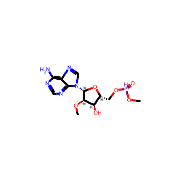 CO[C@@H]1[C@H](O)[C@@H](CO[PH](=O)OC)O[C@H]1n1cnc2c(N)ncnc21